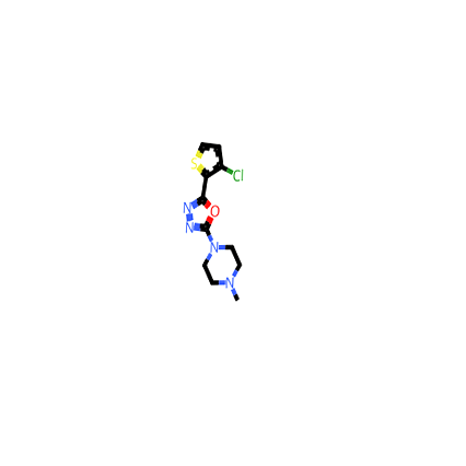 CN1CCN(c2nnc(-c3sccc3Cl)o2)CC1